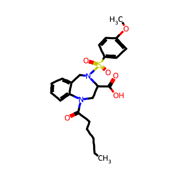 CCCCCC(=O)N1CC(C(=O)O)N(S(=O)(=O)c2ccc(OC)cc2)Cc2ccccc21